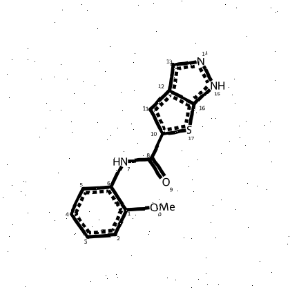 COc1ccccc1NC(=O)c1cc2cn[nH]c2s1